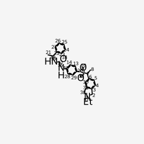 CCN1Cc2ccc(C(C)S(=O)(=O)c3ccc(NC(=O)NC(C)c4ccccc4)cc3)cc2C1